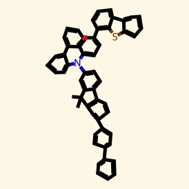 CC1(C)c2cc(-c3ccc(-c4ccccc4)cc3)ccc2-c2ccc(N(c3ccc(-c4cccc5c4sc4ccccc45)cc3)c3ccccc3-c3ccccc3)cc21